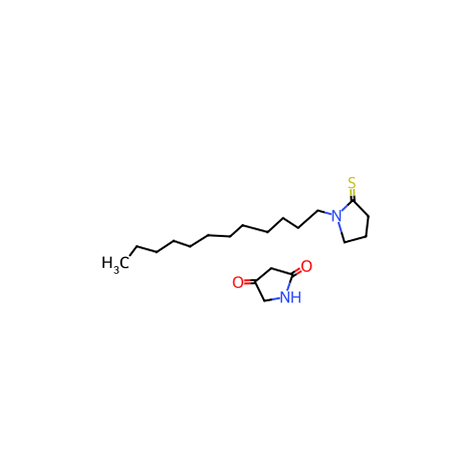 CCCCCCCCCCCCN1CCCC1=S.O=C1CNC(=O)C1